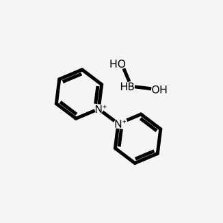 OBO.c1cc[n+](-[n+]2ccccc2)cc1